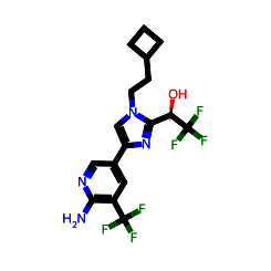 Nc1ncc(-c2cn(CCC3CCC3)c([C@@H](O)C(F)(F)F)n2)cc1C(F)(F)F